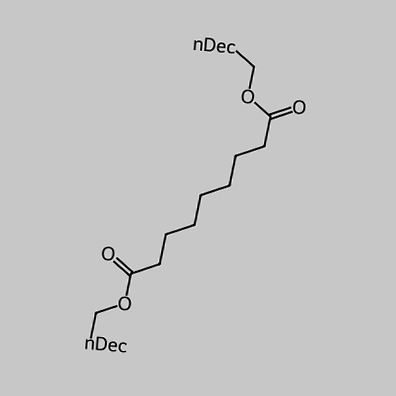 CCCCCCCCCCCOC(=O)CCCCCCCC(=O)OCCCCCCCCCCC